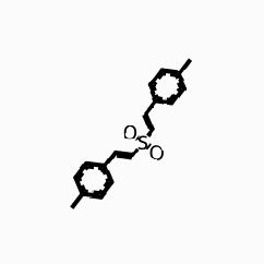 Cc1ccc(C=CS(=O)(=O)C=Cc2ccc(C)cc2)cc1